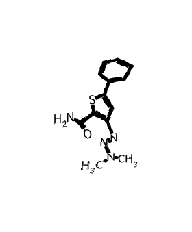 CN(C)/N=N/c1cc(-c2ccccc2)sc1C(N)=O